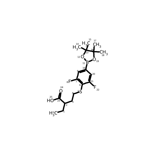 CCC(CCSc1c(F)cc(B2OC(C)(C)C(C)(C)O2)cc1F)C(=O)O